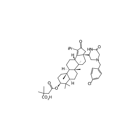 CC(C)C1=C2[C@H]3CC[C@@H]4[C@@]5(C)CC[C@H](OC(=O)CC(C)(C)C(=O)O)C(C)(C)[C@@H]5CC[C@@]4(C)[C@]3(C)CC[C@@]2(C2CN(Cc3ccc(Cl)cc3)CC(=O)N2)CC1=O